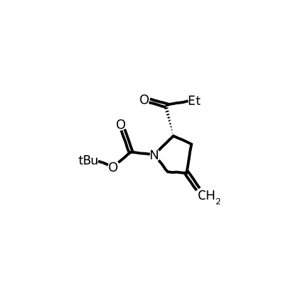 C=C1C[C@@H](C(=O)CC)N(C(=O)OC(C)(C)C)C1